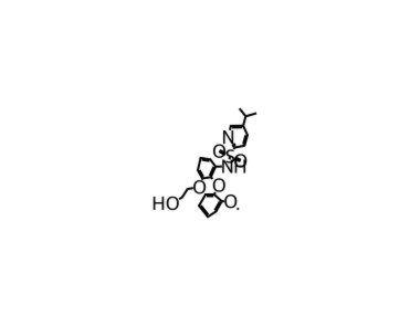 COc1ccccc1Oc1c(NS(=O)(=O)c2ccc(C(C)C)cn2)cccc1OCCO